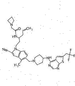 C=CCC(CCn1c(C#N)cc2c(C)c(CN3CCC(Nc4ncnc5sc(CC(F)(F)F)cc45)CC3)ccc21)NC(=O)CN1CCC1